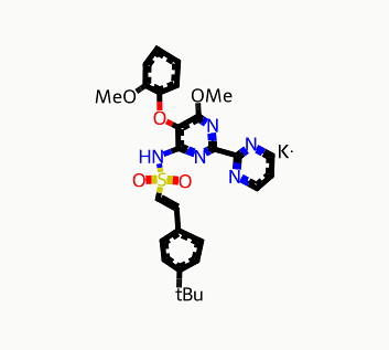 COc1ccccc1Oc1c(NS(=O)(=O)C=Cc2ccc(C(C)(C)C)cc2)nc(-c2ncccn2)nc1OC.[K]